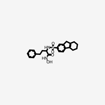 O=C(NO)C(CCc1ccccc1)NS(=O)(=O)c1ccc2c(c1)CC1=C2CCCC1